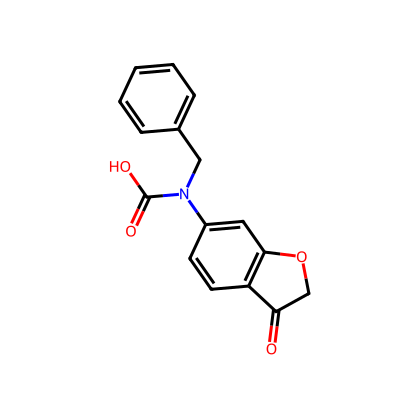 O=C1COc2cc(N(Cc3ccccc3)C(=O)O)ccc21